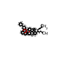 C#CC/C=C(\CC#CCC)c1ccc2c(c1)C1(c3cc(-c4ccccc4)ccc3O2)c2ccccc2-c2ccc(N(C3=CCC(C4C=CC=CC4)C=C3)c3cccc4ccccc34)cc21